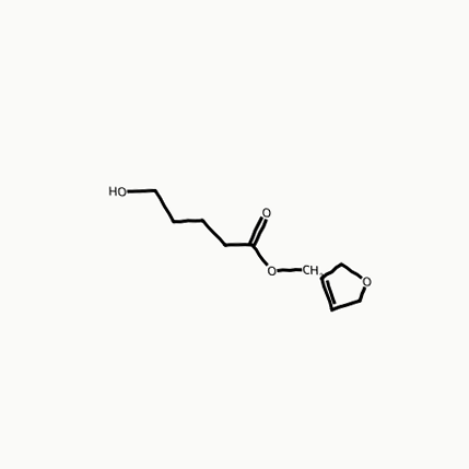 C1=CCOC1.COC(=O)CCCCO